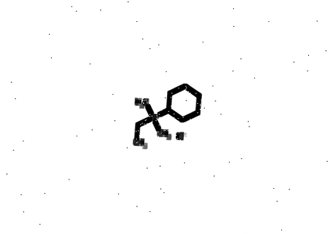 CC[N+](C)(C)C1CCCCC1.[Cl-]